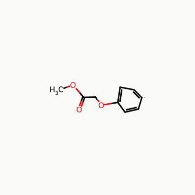 COC(=O)COc1cc[c]cc1